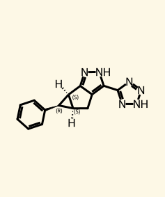 c1ccc([C@@H]2[C@@H]3Cc4c(n[nH]c4-c4nn[nH]n4)[C@@H]32)cc1